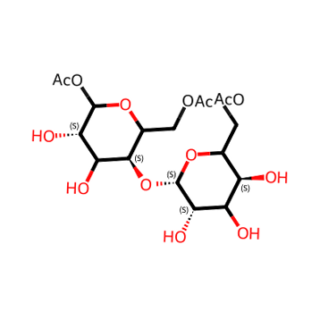 CC(=O)OCC1O[C@@H](O[C@@H]2C(COC(C)=O)OC(OC(C)=O)[C@@H](O)C2O)[C@@H](O)C(O)[C@@H]1O